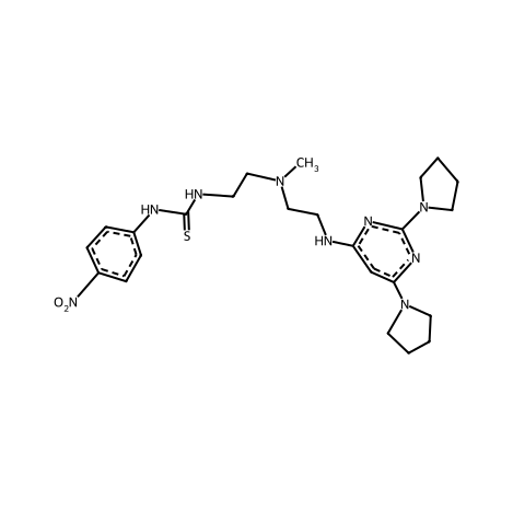 CN(CCNC(=S)Nc1ccc([N+](=O)[O-])cc1)CCNc1cc(N2CCCC2)nc(N2CCCC2)n1